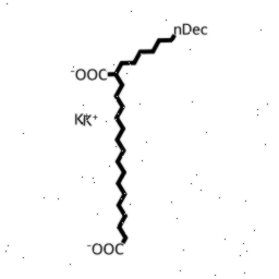 CCCCCCCCCCCCCCCCC(CCCCCCCCCCCCCCCC(=O)[O-])C(=O)[O-].[K+].[K+]